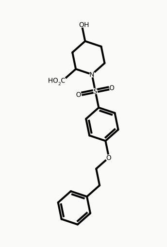 O=C(O)C1CC(O)CCN1S(=O)(=O)c1ccc(OCCc2ccccc2)cc1